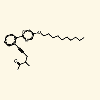 CCCCCCCCCCOc1cnc(-c2ccccc2C#CCC(C)C(C)=O)nc1